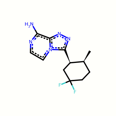 C[C@H]1CCC(F)(F)C[C@H]1c1nnc2c(N)nccn12